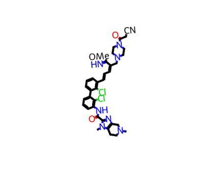 COC(=N)/C(=C\C=C\c1cccc(-c2cccc(NC(=O)c3nc4c(n3C)CCN(C)C4)c2Cl)c1Cl)CN1CCN(C(=O)CC#N)CC1